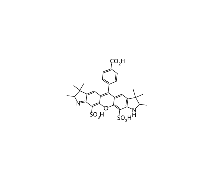 CC1N=c2c(cc3c(c2S(=O)(=O)O)Oc2c(cc4c(c2S(=O)(=O)O)NC(C)C4(C)C)C=3c2ccc(C(=O)O)cc2)C1(C)C